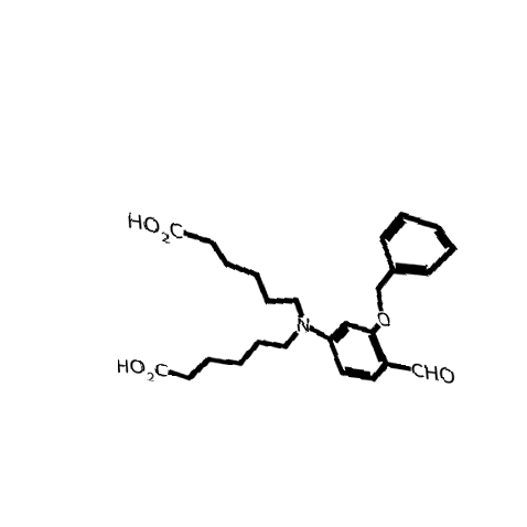 O=Cc1ccc(N(CCCCCC(=O)O)CCCCCC(=O)O)cc1OCc1ccccc1